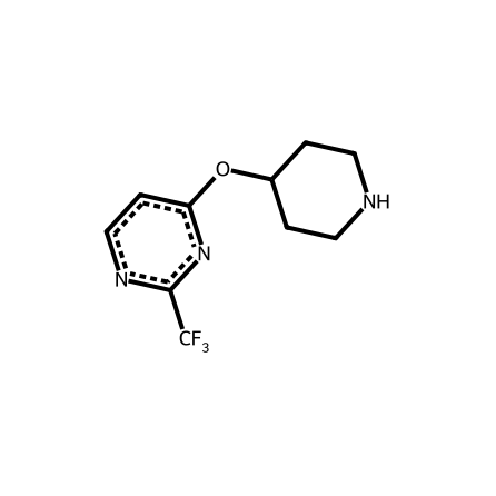 FC(F)(F)c1nccc(OC2CCNCC2)n1